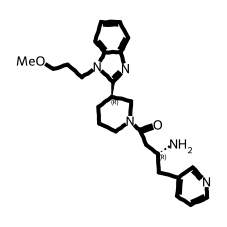 COCCCn1c([C@@H]2CCCN(C(=O)C[C@H](N)Cc3cccnc3)C2)nc2ccccc21